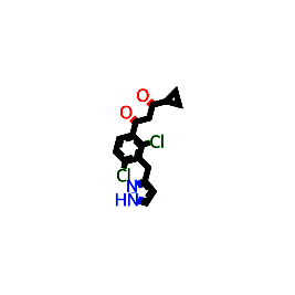 O=C(CC(=O)C1CC1)c1ccc(Cl)c(Cc2cc[nH]n2)c1Cl